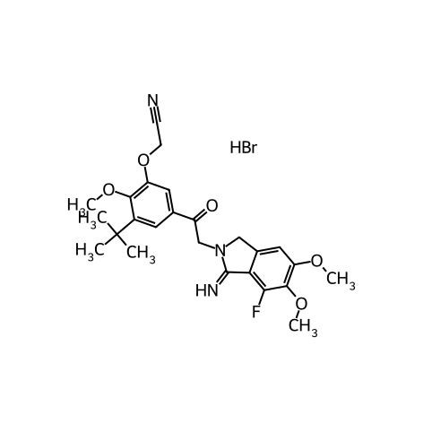 Br.COc1cc2c(c(F)c1OC)C(=N)N(CC(=O)c1cc(OCC#N)c(OC)c(C(C)(C)C)c1)C2